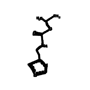 CC(C)OC(=O)NCc1cocn1